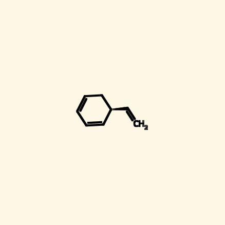 C=C[C@H]1C=CC=CC1